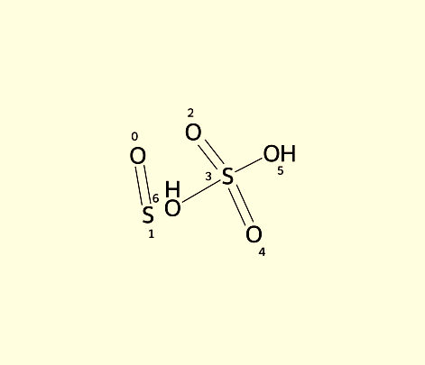 O=S.O=S(=O)(O)O